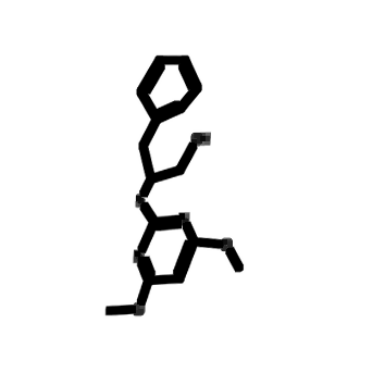 COc1cc(OC)nc(SC(CO)Cc2ccccc2)n1